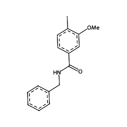 COc1cc(C(=O)NCc2ccccc2)ccc1C